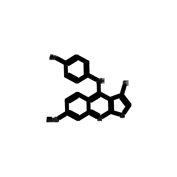 COc1ccc2c(Nc3ccc(C(C)=O)cc3)c3c(Cl)coc3nc2c1